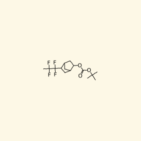 CC(C)(C)OC(=O)OC1CC2CC1CC2C(F)(F)C(C)(F)F